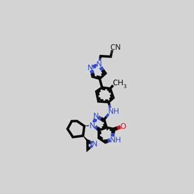 Cc1cc(Nc2nn([C@H]3CCCC[C@@H]3C3=NC3)c3cc[nH]c(=O)c23)ccc1-c1cnn(CCC#N)c1